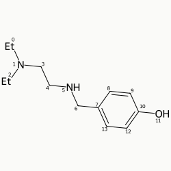 CCN(CC)CCNCc1ccc(O)cc1